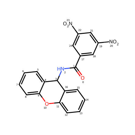 O=C(NC1c2ccccc2Oc2ccccc21)c1cc([N+](=O)[O-])cc([N+](=O)[O-])c1